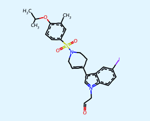 Cc1cc(S(=O)(=O)N2CC=C(c3cn(CC=O)c4ccc(I)cc34)CC2)ccc1OC(C)C